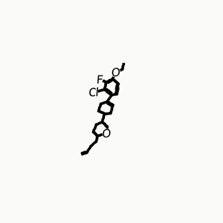 C=CCCC1CCC(C2CC=C(c3ccc(OCC)c(F)c3Cl)CC2)CO1